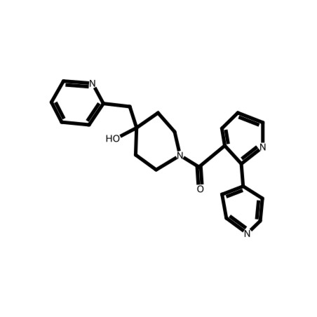 O=C(c1cccnc1-c1ccncc1)N1CCC(O)(Cc2ccccn2)CC1